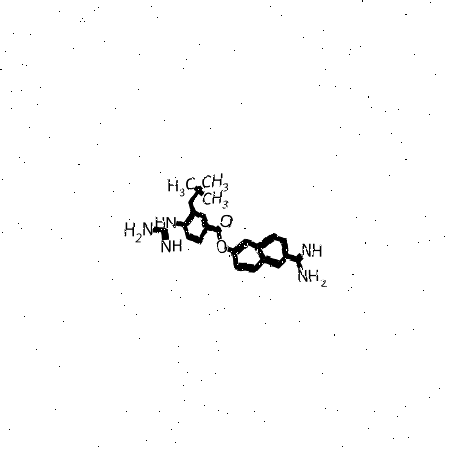 CC(C)(C)Cc1cc(C(=O)Oc2ccc3cc(C(=N)N)ccc3c2)ccc1NC(=N)N